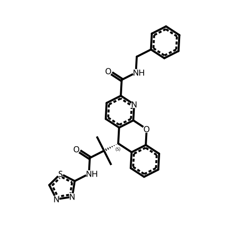 CC(C)(C(=O)Nc1nncs1)[C@H]1c2ccccc2Oc2nc(C(=O)NCc3ccccc3)ccc21